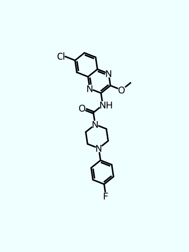 COc1nc2ccc(Cl)cc2nc1NC(=O)N1CCN(c2ccc(F)cc2)CC1